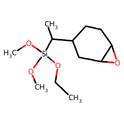 CCO[Si](OC)(OC)C(C)C1CCC2OC2C1